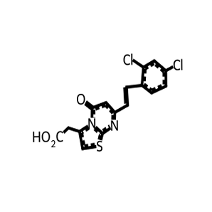 O=C(O)Cc1csc2nc(/C=C/c3ccc(Cl)cc3Cl)cc(=O)n12